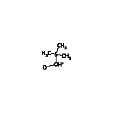 CS(C)(C)[OH+][O-]